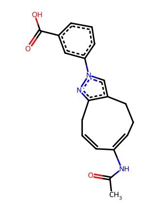 CC(=O)NC1=C/CCc2cn(-c3cccc(C(=O)O)c3)nc2C/C=C\1